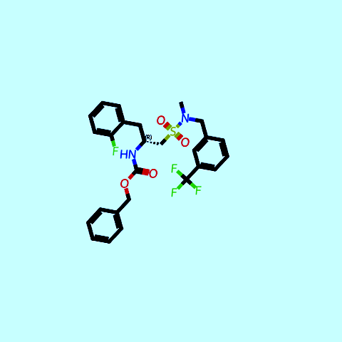 CN(Cc1cccc(C(F)(F)F)c1)S(=O)(=O)C[C@@H](Cc1ccccc1F)NC(=O)OCc1ccccc1